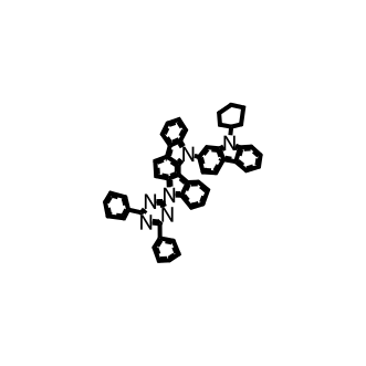 c1ccc(-c2nc(-c3ccccc3)nc(-n3c4ccccc4c4c3ccc3c5ccccc5n(-c5ccc6c7ccccc7n(C7CCCCC7)c6c5)c34)n2)cc1